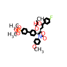 CCCCOc1cc(-c2ccc(P(=O)(OC)OC)cc2)ccc1[C@@H]1[C@@H](CC[C@H](O)c2ccc(F)cc2)OC(=O)N1c1ccc(OC)cc1